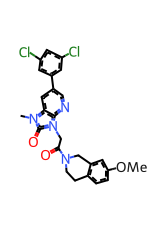 COc1ccc2c(c1)CN(C(=O)Cn1c(=O)n(C)c3cc(-c4cc(Cl)cc(Cl)c4)cnc31)CC2